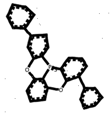 S=P12c3ccc(-c4ccccc4)cc3Oc3cccc(c31)Oc1c(-c3ccccc3)cccc12